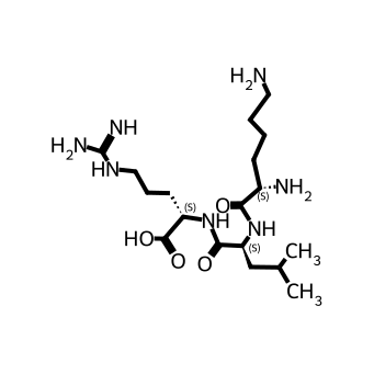 CC(C)C[C@H](NC(=O)[C@@H](N)CCCCN)C(=O)N[C@@H](CCCNC(=N)N)C(=O)O